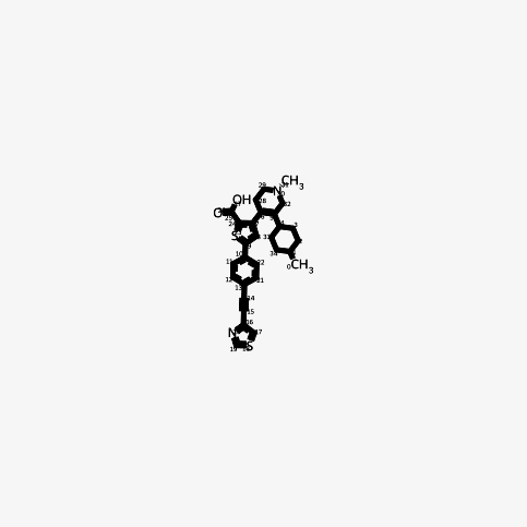 CC1CCC(C2=C(c3cc(-c4ccc(C#Cc5cscn5)cc4)sc3C(=O)O)CCN(C)C2)CC1